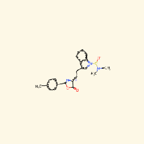 Cc1ccc(C2=N/C(=C\Cc3cn([S+]([O-])N(C)C)c4ccccc34)C(=O)O2)cc1